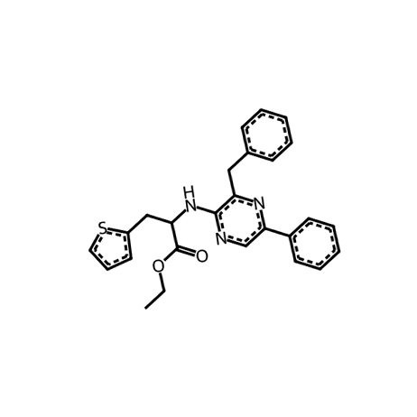 CCOC(=O)C(Cc1cccs1)Nc1ncc(-c2ccccc2)nc1Cc1ccccc1